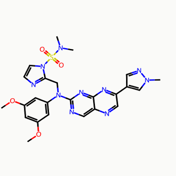 COc1cc(OC)cc(N(Cc2nccn2S(=O)(=O)N(C)C)c2ncc3ncc(-c4cnn(C)c4)nc3n2)c1